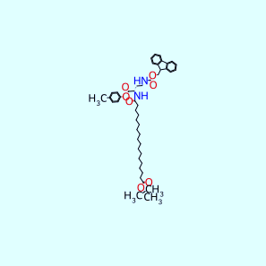 Cc1ccc(OC(=O)[C@H](CCNC(=O)OCC2c3ccccc3-c3ccccc32)NC(=O)CCCCCCCCCCCCCCCCC(=O)OC(C)(C)C)cc1